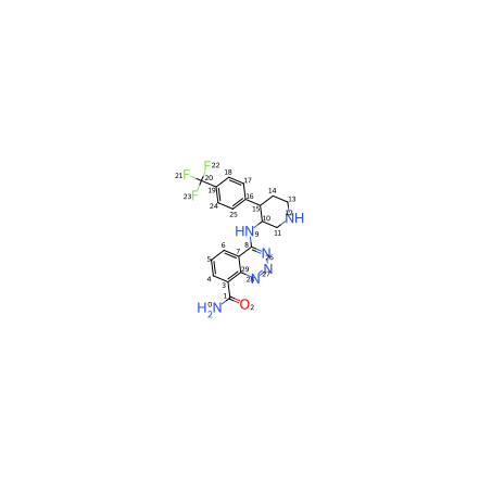 NC(=O)c1cccc2c(NC3CNCCC3c3ccc(C(F)(F)F)cc3)nnnc12